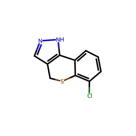 Clc1cccc2c1SCc1cn[nH]c1-2